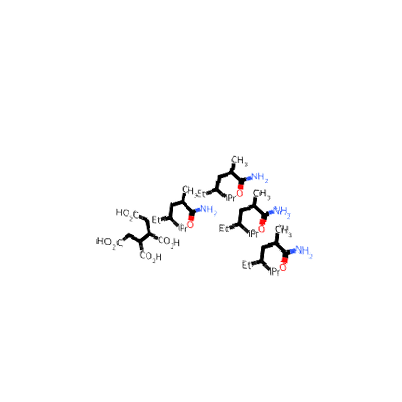 CCC(CC(C)C(N)=O)C(C)C.CCC(CC(C)C(N)=O)C(C)C.CCC(CC(C)C(N)=O)C(C)C.CCC(CC(C)C(N)=O)C(C)C.O=C(O)CC(C(=O)O)C(CC(=O)O)C(=O)O